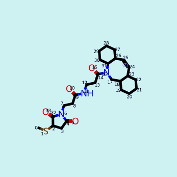 CSC1CC(=O)N(CCC(=O)NCCC(=O)N2CC3CCCCC3/C=C\C3CCCCC32)C1=O